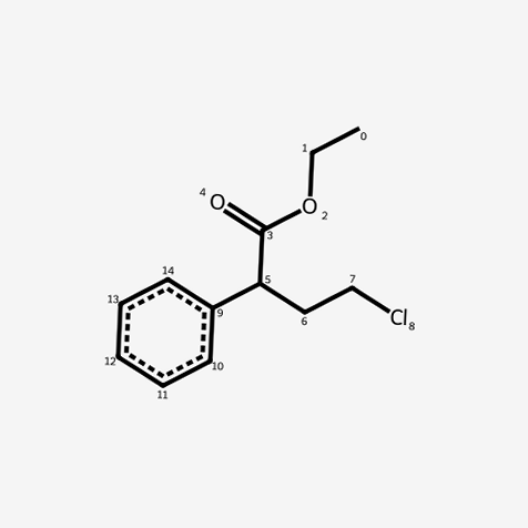 CCOC(=O)C(CCCl)c1ccccc1